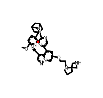 COc1ccc(CN2C3CC2CN(c2cnc(-c4cc(OCCN5CCCC56CNC6)cn5ncc(C#N)c45)cn2)C3)cn1